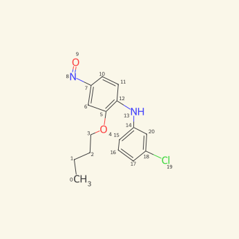 CCCCOc1cc(N=O)ccc1Nc1cccc(Cl)c1